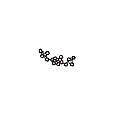 c1ccc(N(c2cccc(-c3ccc4c5c(ccc4c3)-c3c(c4ccc(-c6cccc(N(c7ccccc7)c7cccc8c7sc7ccccc78)c6)cc4c4ccccc34)C5(c3ccccc3)c3ccccc3)c2)c2cccc3c2sc2ccccc23)cc1